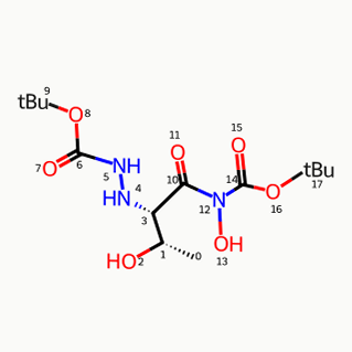 C[C@H](O)[C@H](NNC(=O)OC(C)(C)C)C(=O)N(O)C(=O)OC(C)(C)C